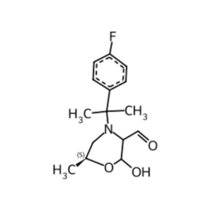 C[C@H]1CN(C(C)(C)c2ccc(F)cc2)C(C=O)C(O)O1